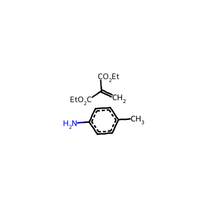 C=C(C(=O)OCC)C(=O)OCC.Cc1ccc(N)cc1